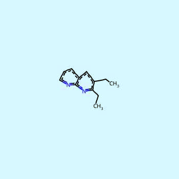 CCc1cc2cccnc2nc1CC